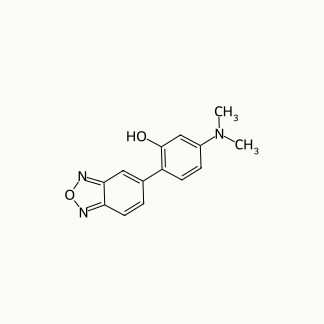 CN(C)c1ccc(-c2ccc3nonc3c2)c(O)c1